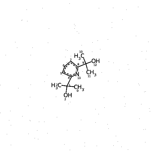 CC(C)(O)c1cccc(C(C)(C)O)n1